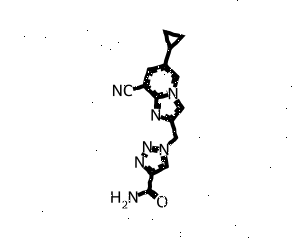 N#Cc1cc(C2CC2)cn2cc(Cn3cc(C(N)=O)nn3)nc12